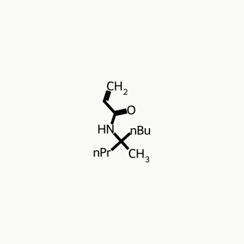 C=CC(=O)NC(C)(CCC)CCCC